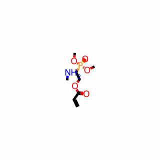 C=CC(=O)OCCP(=O)(OC)OC.CN